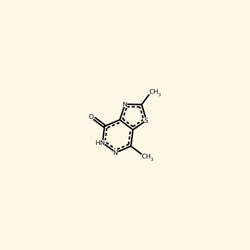 Cc1nc2c(=O)[nH]nc(C)c2s1